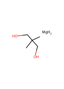 CC(C)(CO)CO.[MgH2]